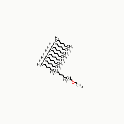 CCCCCC.CCCCCC.CCCCCC.CCCCCC.CCCCCC.CCCCCC.CCCCCC.CCCCCC.CCCCCC.CCOCC